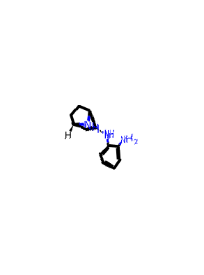 Nc1ccccc1N[C@@H]1C[C@@H]2CCC1N2